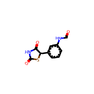 O=CNc1cccc(C2SC(=O)NC2=O)c1